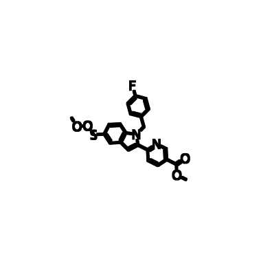 COOSc1ccc2c(c1)cc(-c1ccc(C(=O)OC)cn1)n2Cc1ccc(F)cc1